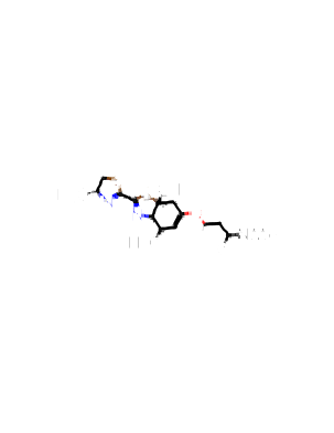 CNC(C)CCOC1=CC(C)C2N=C(C3=N[C@@H](C)CS3)SC2(C)C1